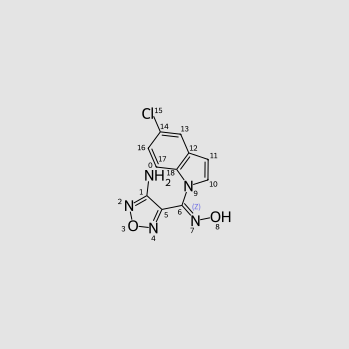 Nc1nonc1/C(=N/O)n1ccc2cc(Cl)ccc21